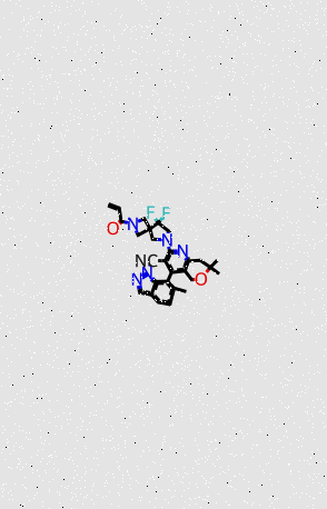 C=CC(=O)N1CC2(C1)CN(c1nc3c(c(-c4c(C)ccc5cnn(C)c45)c1C#N)COC(C)(C)C3)CC2(F)F